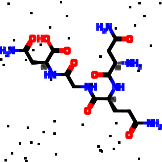 NC(=O)CC[C@H](NC(=O)[C@@H](N)CC(N)=O)C(=O)NCC(=O)N[C@@H](CC(N)=O)C(=O)O